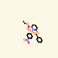 CCOC(=O)[C@@H]1CC=CC(OCc2ccccc2)N1S(=O)(=O)c1ccc([N+](=O)[O-])cc1